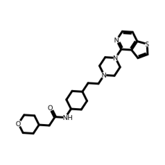 O=C(CC1CCOCC1)NC1CCC(CCN2CCN(c3nccc4sccc34)CC2)CC1